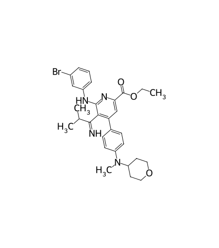 CCOC(=O)c1cc(-c2ccc(N(C)C3CCOCC3)cc2)c(C(=N)C(C)C)c(Nc2cccc(Br)c2)n1